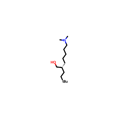 CN(C)CCCCC[C@@H](CO)CCC(C)(C)C